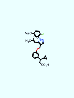 COc1ccc(F)c(-n2ncc(COc3cccc(C(CC(=O)O)C4CC4)c3)c2C=C(C)C)c1